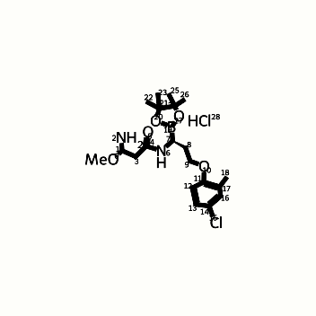 COC(N)CC(=O)N[C@H](CCOc1ccc(Cl)cc1C)B1OC(C)(C)C(C)(C)O1.Cl